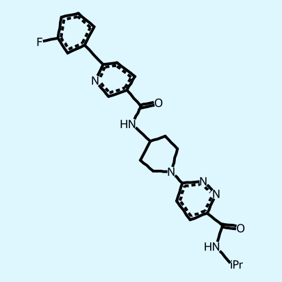 CC(C)NC(=O)c1ccc(N2CCC(NC(=O)c3ccc(-c4cccc(F)c4)nc3)CC2)nn1